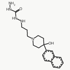 NNC(=O)NNCCCN1CCC(O)(c2ccc3ccccc3c2)CC1